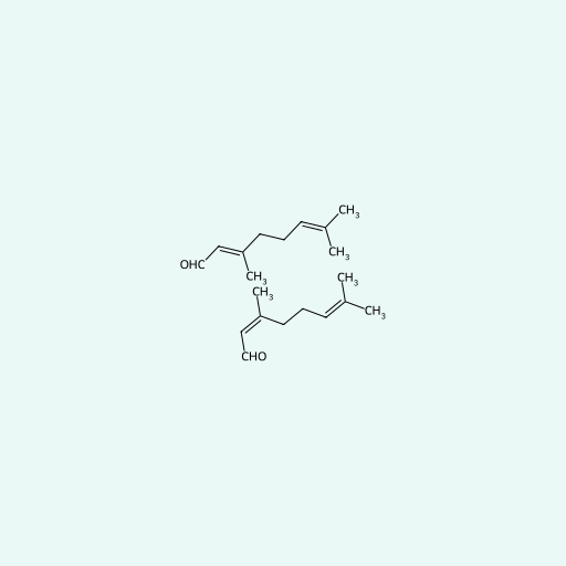 CC(C)=CCC/C(C)=C/C=O.CC(C)=CCCC(C)=CC=O